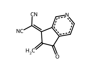 C=C1C(=O)c2ccncc2C1=C(C#N)C#N